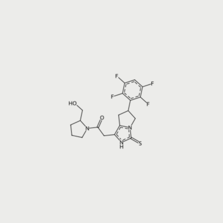 O=C(Cc1[nH]c(=S)n2c1CC(c1c(F)c(F)cc(F)c1F)C2)N1CCCC1CO